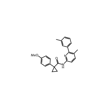 COc1ccc(C2(C(=O)Nc3ccc(C)c(-c4cccc(C)c4)n3)CC2)cc1